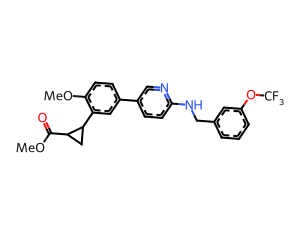 COC(=O)C1CC1c1cc(-c2ccc(NCc3cccc(OC(F)(F)F)c3)nc2)ccc1OC